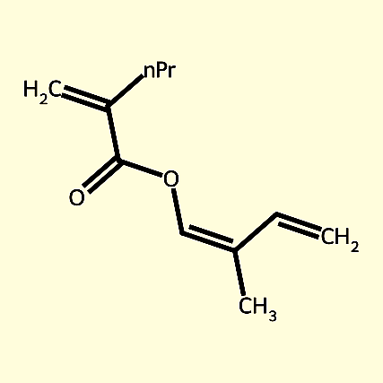 C=CC(C)=COC(=O)C(=C)CCC